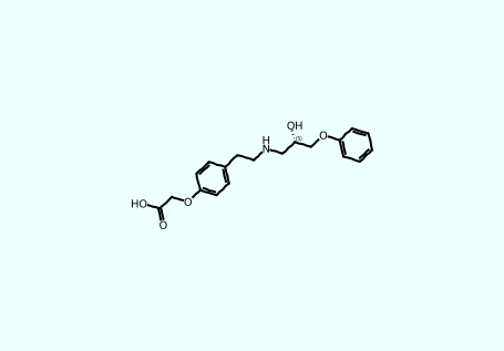 O=C(O)COc1ccc(CCNC[C@H](O)COc2ccccc2)cc1